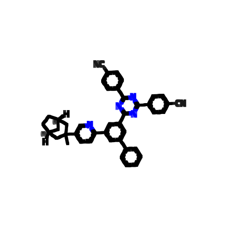 CC1(c2ccc(-c3cc(-c4ccccc4)cc(-c4nc(-c5ccc(C#N)cc5)nc(-c5ccc(C#N)cc5)n4)c3)nc2)C[C@@H]2CC[C@@H](C2)C1